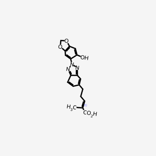 C/C(=C\CCc1ccc2nn(-c3cc4c(cc3O)OCO4)nc2c1)C(=O)O